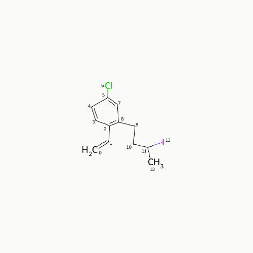 C=Cc1ccc(Cl)cc1CCC(C)I